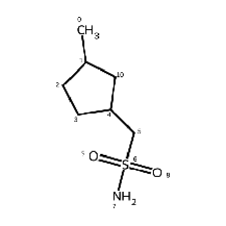 CC1CCC(CS(N)(=O)=O)C1